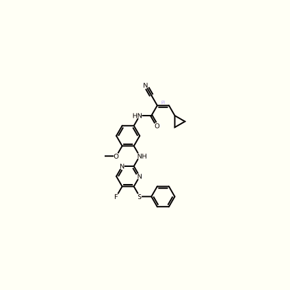 COc1ccc(NC(=O)/C(C#N)=C\C2CC2)cc1Nc1ncc(F)c(Sc2ccccc2)n1